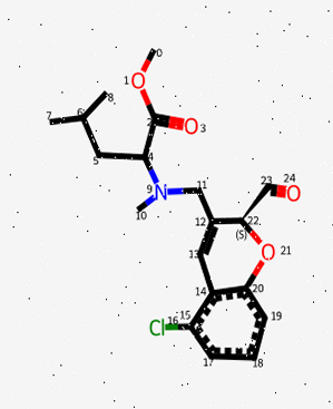 COC(=O)C(CC(C)C)N(C)CC1=Cc2c(Cl)cccc2O[C@@H]1C=O